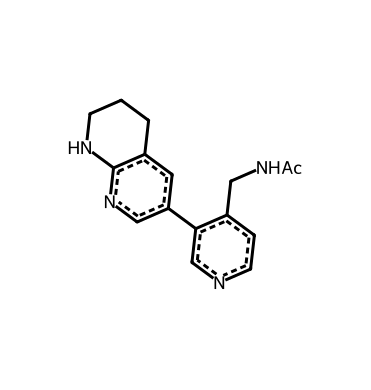 CC(=O)NCc1ccncc1-c1cnc2c(c1)CCCN2